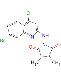 CC1C(=O)N(Nc2cc(Cl)c3ccc(Br)cc3n2)C(=O)C1C